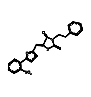 O=C1C(=Cc2ccc(-c3ccccc3[N+](=O)[O-])o2)SC(=S)N1CCc1ccccc1